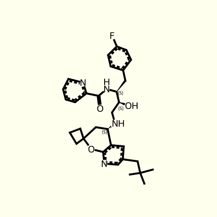 CC(C)(C)Cc1cnc2c(c1)[C@@H](NC[C@H](O)[C@H](Cc1ccc(F)cc1)NC(=O)c1ccccn1)CC1(CCC1)O2